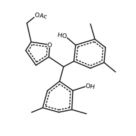 CC(=O)OCc1ccc(C(c2cc(C)cc(C)c2O)c2cc(C)cc(C)c2O)o1